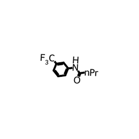 CCCC(=O)Nc1cccc(C(F)(F)F)c1